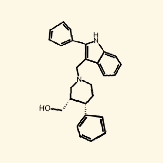 OC[C@@H]1CN(Cc2c(-c3ccccc3)[nH]c3ccccc23)CC[C@@H]1c1ccccc1